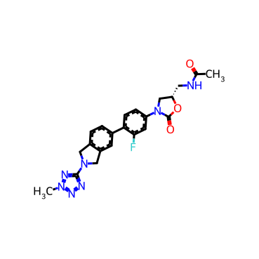 CC(=O)NC[C@H]1CN(c2ccc(-c3ccc4c(c3)CN(c3nnn(C)n3)C4)c(F)c2)C(=O)O1